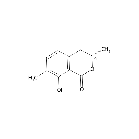 Cc1ccc2c(c1O)C(=O)O[C@@H](C)C2